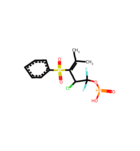 CC(C)=C(C(Cl)C(F)(F)O[PH](=O)O)S(=O)(=O)c1ccccc1